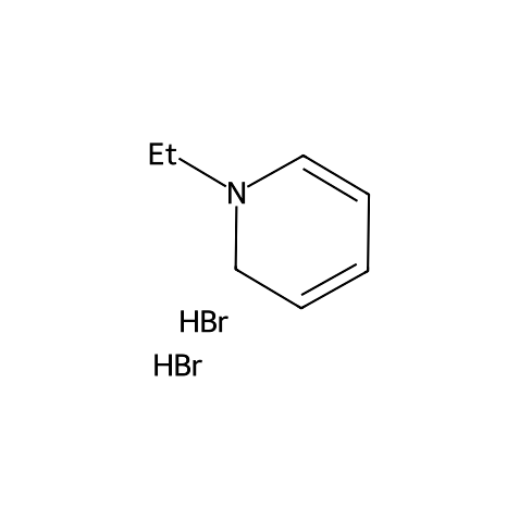 Br.Br.CCN1C=CC=CC1